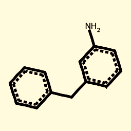 Nc1cc[c]c(Cc2ccccc2)c1